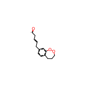 O=[C]C/C=C/Cc1ccc2c(c1)OOCCC2